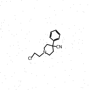 N#CC1(c2ccccc2)CCN(CCCl)CC1